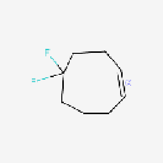 FC1(F)CC/C=C\CCC1